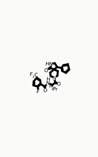 CC(C)[C@@H](NC(=O)c1cc(C(F)(F)F)ccc1F)C(=O)N1CCC2(CC1)C(=O)NCC2c1ccccc1